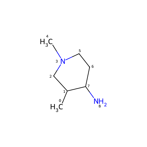 CC1CN(C)CCC1N